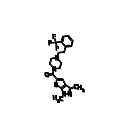 Cc1nn(C)c2sc(C(=O)N3CCN(CCc4ccccc4C(F)(F)F)CC3)cc12